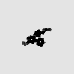 CCCOCC1CCN(c2nnc(N)nc2-c2ccccc2)C1